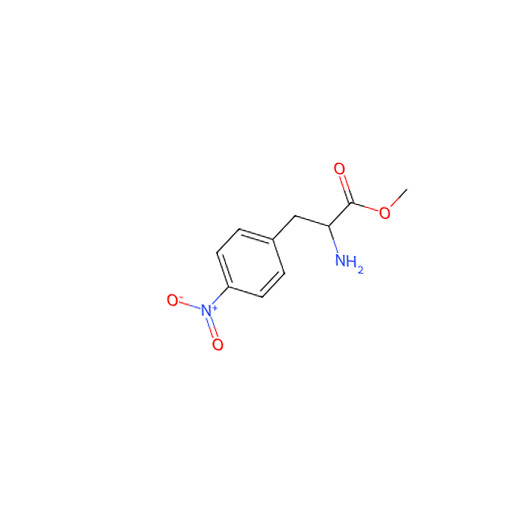 COC(=O)C(N)Cc1ccc([N+](=O)[O-])cc1